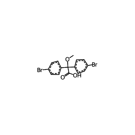 COC(C(=O)O)(c1ccc(Br)cc1)c1ccc(Br)cc1